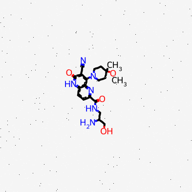 COC1(C)CCN(c2c(C#N)c(=O)[nH]c3ccc(C(=O)NCC(N)CO)nc23)CC1